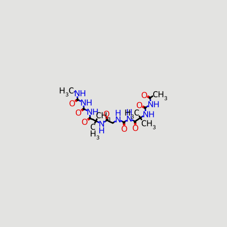 CNC(=O)NC(=O)NC(=O)C(C)(C)NC(=O)CNC(=O)NC(=O)C(C)(C)NC(=O)NC(C)=O